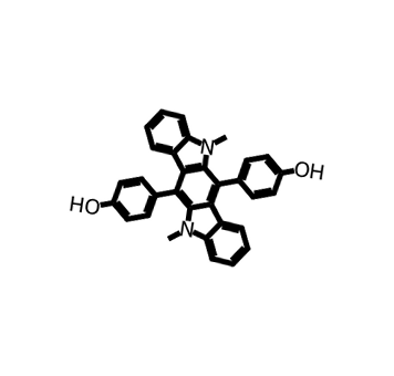 Cn1c2ccccc2c2c(-c3ccc(O)cc3)c3c(c(-c4ccc(O)cc4)c21)c1ccccc1n3C